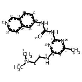 Cc1cc(NCCN(C)C)nc(NC(=O)Nc2ccc3cnccc3c2)n1